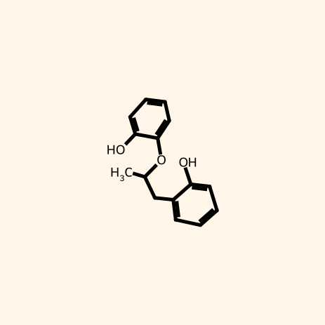 CC(Cc1ccccc1O)Oc1ccccc1O